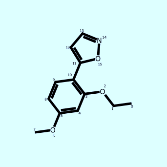 CCOc1cc(OC)ccc1-c1ccno1